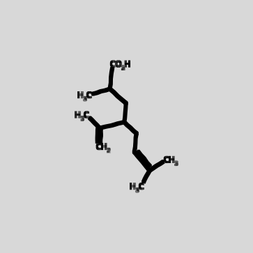 C=C(C)C(CC=C(C)C)CC(C)C(=O)O